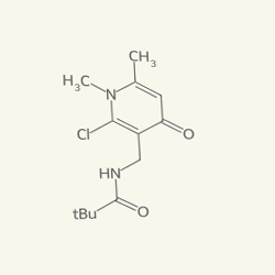 Cc1cc(=O)c(CNC(=O)C(C)(C)C)c(Cl)n1C